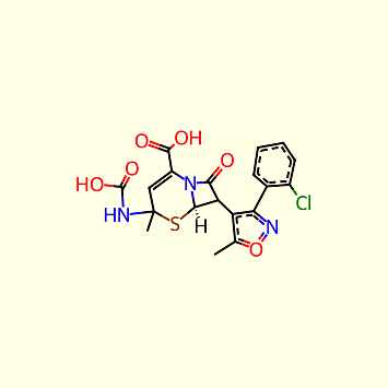 Cc1onc(-c2ccccc2Cl)c1C1C(=O)N2C(C(=O)O)=CC(C)(NC(=O)O)S[C@H]12